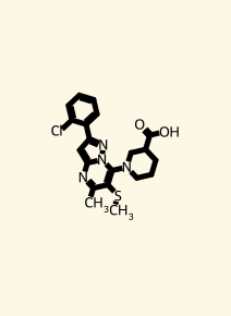 CSc1c(C)nc2cc(-c3ccccc3Cl)nn2c1N1CCCC(C(=O)O)C1